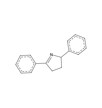 c1ccc(C2=NC(c3ccccc3)CC2)cc1